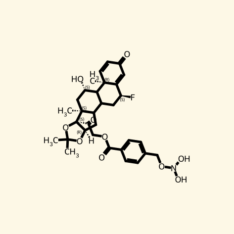 CC1(C)O[C@@H]2CC3C4C[C@H](F)C5=CC(=O)C=C[C@]5(C)C4[C@@H](O)C[C@]3(C)[C@]2(C(=O)COC(=O)c2ccc(CON(O)O)cc2)O1